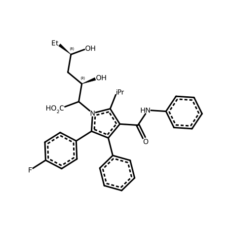 CC[C@@H](O)C[C@@H](O)C(C(=O)O)n1c(-c2ccc(F)cc2)c(-c2ccccc2)c(C(=O)Nc2ccccc2)c1C(C)C